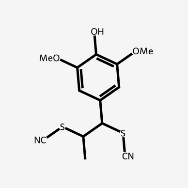 COc1cc(C(SC#N)C(C)SC#N)cc(OC)c1O